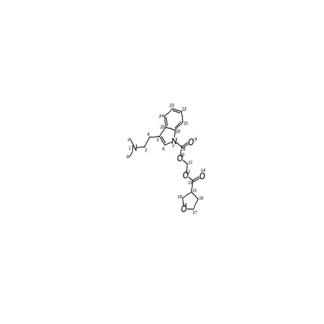 CN(C)CCc1cn(C(=O)OCOC(=O)C2CCOC2)c2ccccc12